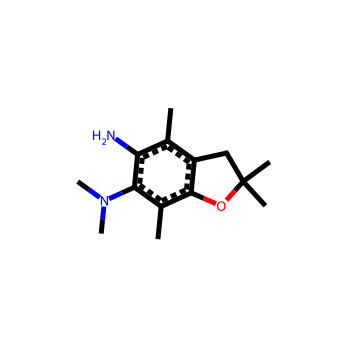 Cc1c(N)c(N(C)C)c(C)c2c1CC(C)(C)O2